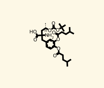 CC(C)CCC(=O)Oc1ccc(CC(N)(C[C@H](C)OC(=O)OC(C)(C)C)C(=O)O)cc1OC(=O)CCC(C)C